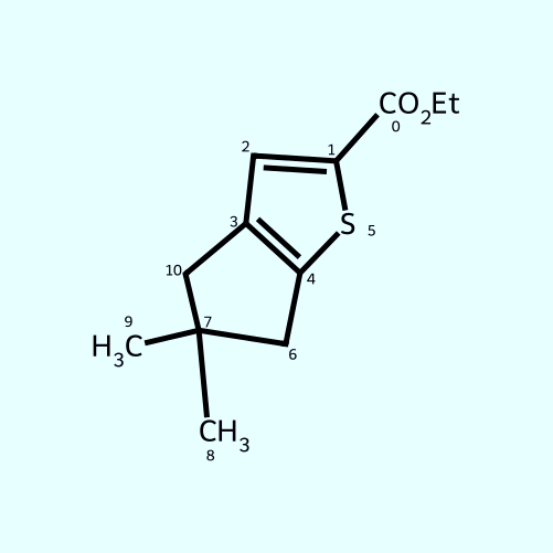 CCOC(=O)c1cc2c(s1)CC(C)(C)C2